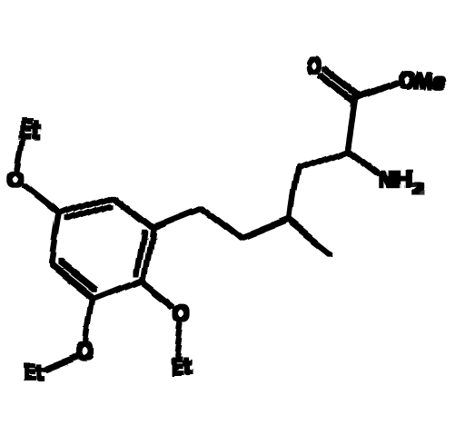 CCOc1cc(CCC(C)CC(N)C(=O)OC)c(OCC)c(OCC)c1